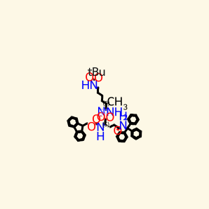 C[C@@H](CCCCNC(=O)OC(C)(C)C)/C(N)=N/OC(=O)[C@H](CCC(=O)NC(c1ccccc1)(c1ccccc1)c1ccccc1)NC(=O)OCC1c2ccccc2-c2ccccc21